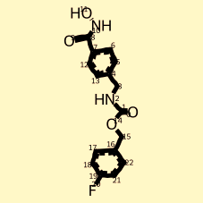 O=C(NCc1ccc(C(=O)NO)cc1)OCc1ccc(F)cc1